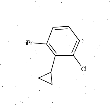 C[C](C)c1cccc(Cl)c1C1CC1